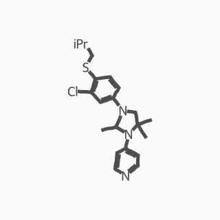 CC(C)CSc1ccc(N2CC(C)(C)N(c3ccncc3)C2C)cc1Cl